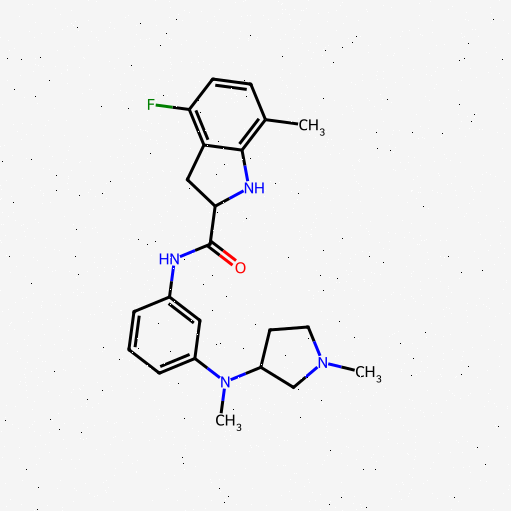 Cc1ccc(F)c2c1NC(C(=O)Nc1cccc(N(C)C3CCN(C)C3)c1)C2